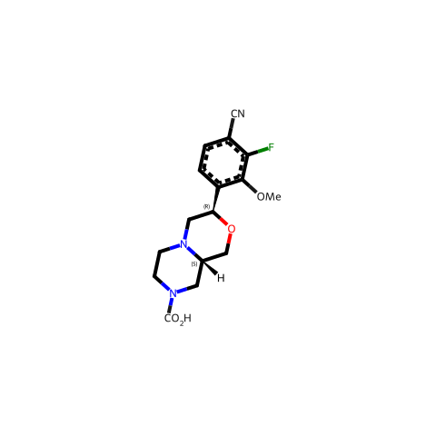 COc1c([C@@H]2CN3CCN(C(=O)O)C[C@H]3CO2)ccc(C#N)c1F